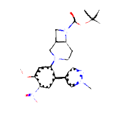 COc1cc(N2CCC3C(C2)CN3C(=O)OC(C)(C)C)c(-c2cnn(C)c2)cc1[N+](=O)[O-]